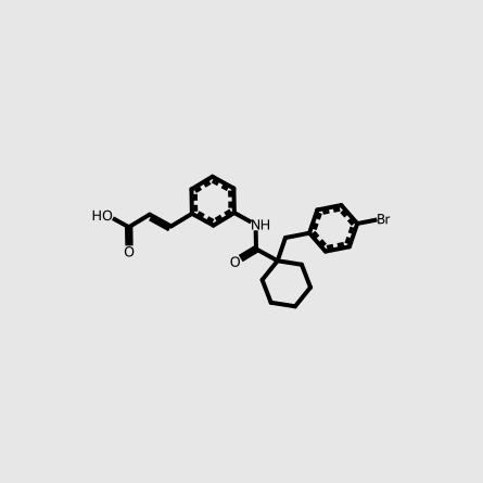 O=C(O)/C=C/c1cccc(NC(=O)C2(Cc3ccc(Br)cc3)CCCCC2)c1